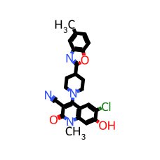 Cc1ccc2oc(C3CCN(c4c(C#N)c(=O)n(C)c5cc(O)c(Cl)cc45)CC3)nc2c1